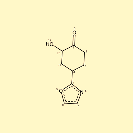 O=C1CCC(c2ncco2)CC1O